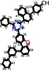 Cc1ccc(-c2ccc(-c3nc(-c4ccccc4)nc(-c4ccc5c(c4)oc4cccc(-c6cccc(-c7ccccc7)c6)c45)n3)c3ccccc23)cc1